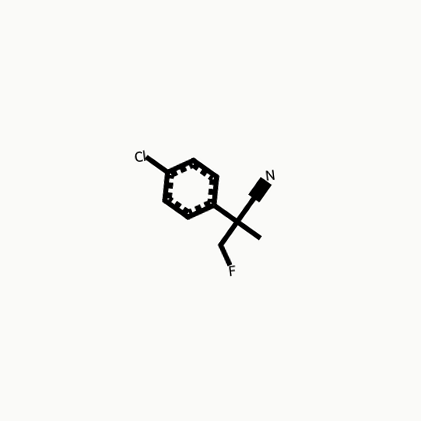 CC(C#N)(CF)c1ccc(Cl)cc1